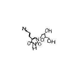 N#C/C=C/c1cn([C@@H]2CC(O)[C@@H](CO)O2)c(=O)[nH]c1=O